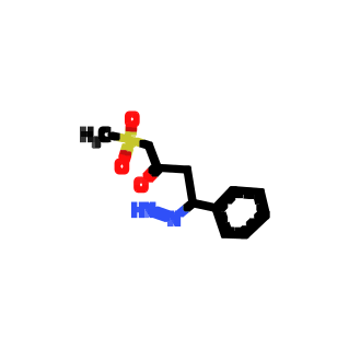 CS(=O)(=O)CC(=O)CC(N=N)c1ccccc1